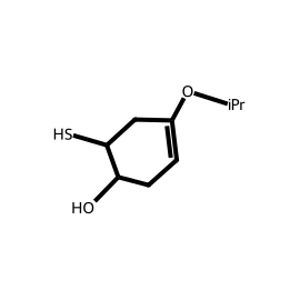 CC(C)OC1=CCC(O)C(S)C1